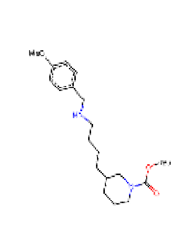 COc1ccc(CNCCCCC2CCCN(C(=O)OC(C)(C)C)C2)cc1